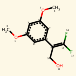 COc1cc(OC)cc(C(CO)=C(F)F)c1